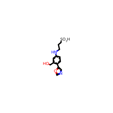 O=S(=O)(O)CCCNc1ccc(-c2cnco2)c(CO)c1